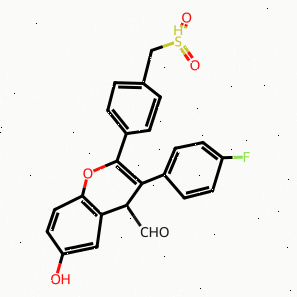 O=CC1C(c2ccc(F)cc2)=C(c2ccc(C[SH](=O)=O)cc2)Oc2ccc(O)cc21